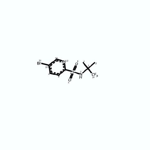 CC(C)(NS(=O)(=O)c1ccc(Br)cn1)C(F)(F)F